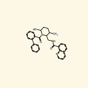 CCCC1CCC(C)C(CNC(=O)c2cccc3cccnc23)N1C(=O)c1ccccc1-c1ccccc1